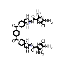 Nc1nc(N)c(C(=O)/N=C2\NCC3(CCN(C(=O)[C@H]4CC[C@@H](C(=O)N5CCC6(CC5)CN/C(=N\C(=O)c5nc(Cl)c(N)nc5N)N6)CC4)CC3)N2)nc1Cl